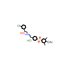 CC(=O)Oc1c(C)cc(S(=O)(=O)c2ccc(CCNC[C@@H](O)c3cccc(Cl)c3)cc2)cc1C.Cl